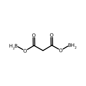 BOC(=O)CC(=O)OB